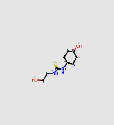 OCCNC(=S)NC1CCC(O)CC1